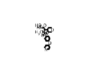 CN([C@@H](C(=O)NO)C1CCOCC1)S(=O)(=O)c1ccc(Oc2ccncc2)cc1